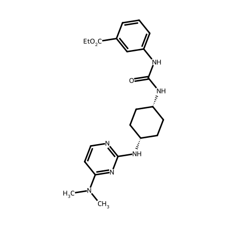 CCOC(=O)c1cccc(NC(=O)N[C@H]2CC[C@@H](Nc3nccc(N(C)C)n3)CC2)c1